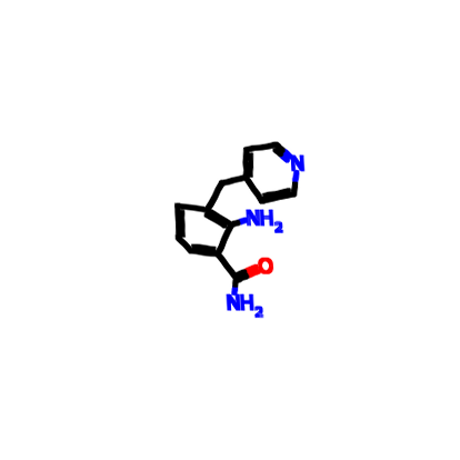 NC(=O)c1cccc(Cc2ccncc2)c1N